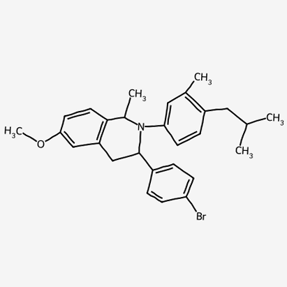 COc1ccc2c(c1)CC(c1ccc(Br)cc1)N(c1ccc(CC(C)C)c(C)c1)C2C